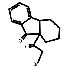 O=C(CBr)C12CCCCC1c1ccccc1C2=O